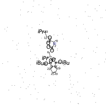 C/C(=C/C(=O)OCCC(C)C)C(=O)OCCC(C)C.CC(C)COC(=O)c1ccccc1C(=O)OCC(C)C